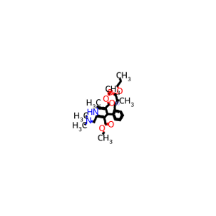 CCCOC(=O)/C(C)=C/c1ccccc1C1C(C(=O)OCC)=C(C)NC(CN(C)C)=C1C(=O)OCC